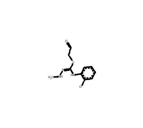 CN/N=C(\Nc1ccccc1Cl)SCC=O